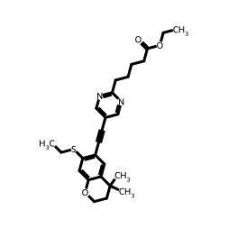 CCOC(=O)CCCCc1ncc(C#Cc2cc3c(cc2SCC)OCCC3(C)C)cn1